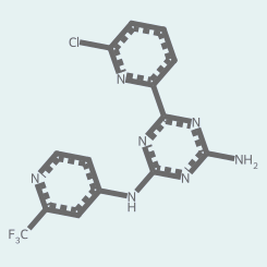 Nc1nc(Nc2ccnc(C(F)(F)F)c2)nc(-c2cccc(Cl)n2)n1